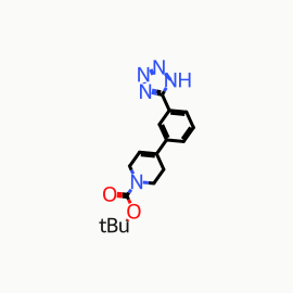 CC(C)(C)OC(=O)N1CC=C(c2cccc(-c3nnn[nH]3)c2)CC1